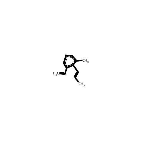 C=Cc1cccc(C)c1C=CC